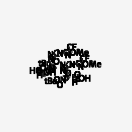 COc1ncc(N2CCc3ncnc(OC4CCN(C(=O)O)[C@H]4C(C)(C)C)c3C2)cc1C(F)(F)F.COc1ncc(N2CCc3ncnc(O[C@H]4CCN(C(=O)OC(C)(C)C)C4)c3C2)cc1C(F)(F)F.O=C(O)C(F)(F)F.O=C(O)C(F)(F)F